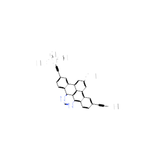 CC#Cc1ccc2c(c1)c1cc(C)cc3c4cc(C#C[Si](C)(C)C)ccc4c4ncnc2c4c13